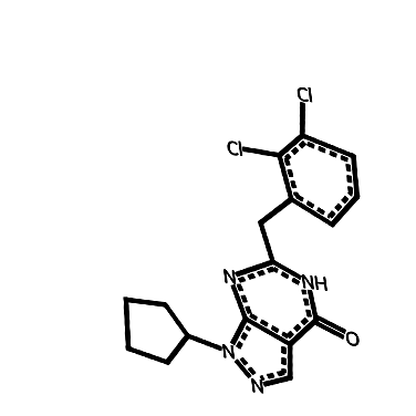 O=c1[nH]c(Cc2cccc(Cl)c2Cl)nc2c1cnn2C1CCCC1